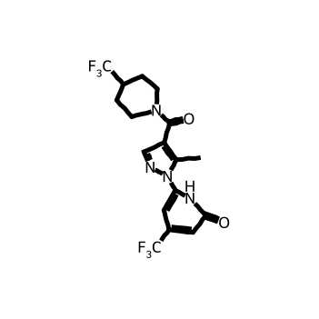 Cc1c(C(=O)N2CCC(C(F)(F)F)CC2)cnn1-c1cc(C(F)(F)F)cc(=O)[nH]1